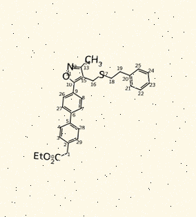 CCOC(=O)Cc1ccc(-c2ccc(-c3onc(C)c3CSCCc3ccccc3)cc2)cc1